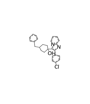 OC1(c2c(-c3ccc(Cl)cc3)nc3ccccn23)CCC(Cc2ccccc2)CC1